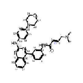 CN(C)C/C=C/C(=O)Nc1cccc(-c2nc(Nc3ccc(N4CCOCC4)nc3)nc3ccccc23)c1